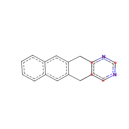 c1ccc2cc3c(cc2c1)C1c2cnccc2C3c2ncncc21